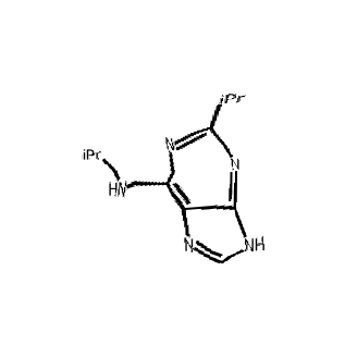 CC(C)Nc1nc(C(C)C)nc2[nH]cnc12